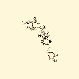 O=C(COc1ccc(Cl)c(F)c1)NC1=C2CC(NC(=O)C3CC(=O)c4cc(Cl)ccc4O3)(C2)NC1=O